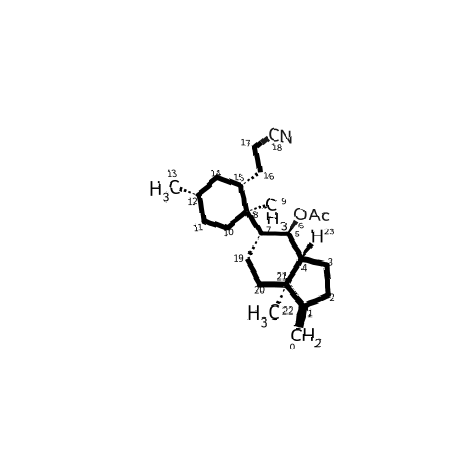 C=C1CC[C@H]2[C@H](OC(C)=O)[C@@H]([C@@]3(C)CC[C@H](C)C[C@@H]3CCC#N)CC[C@]12C